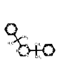 CC(C)(c1ccccc1)c1ncnc(C(C)(C)c2ccccc2)n1